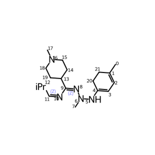 CC1=CC=C(NN(C)/N=C(\N=C/C(C)C)C2CCN(C)CC2)CC1